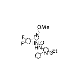 CCOc1ccc(NC(=O)N[C@@H]2CN(CCOC)C[C@H]2c2ccc(F)c(F)c2)c(-c2ccccc2)n1